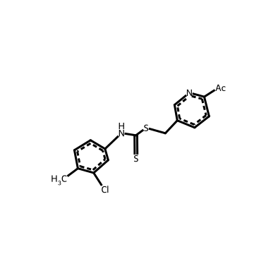 CC(=O)c1ccc(CSC(=S)Nc2ccc(C)c(Cl)c2)cn1